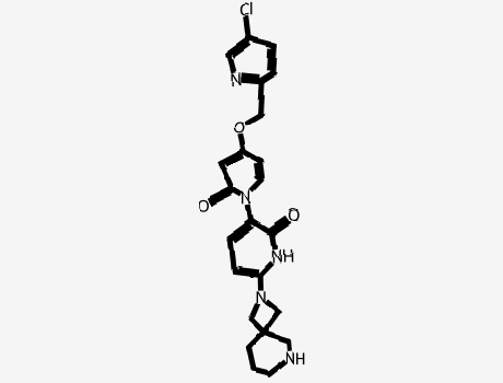 O=c1[nH]c(N2CC3(CCCNC3)C2)ccc1-n1ccc(OCc2ccc(Cl)cn2)cc1=O